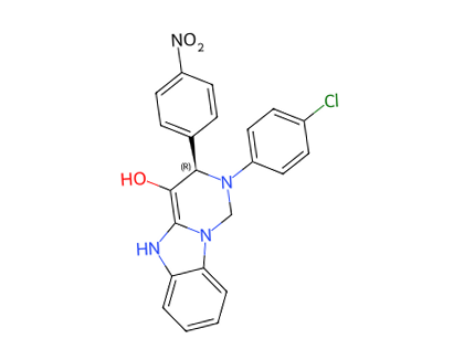 O=[N+]([O-])c1ccc([C@@H]2C(O)=C3Nc4ccccc4N3CN2c2ccc(Cl)cc2)cc1